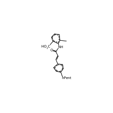 CCCCCc1ccc(C=CC(=O)Nc2c(C)cccc2C(=O)O)cc1